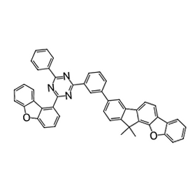 CC1(C)c2ccc(-c3cccc(-c4nc(-c5ccccc5)nc(-c5cccc6oc7ccccc7c56)n4)c3)cc2-c2ccc3c(oc4ccccc43)c21